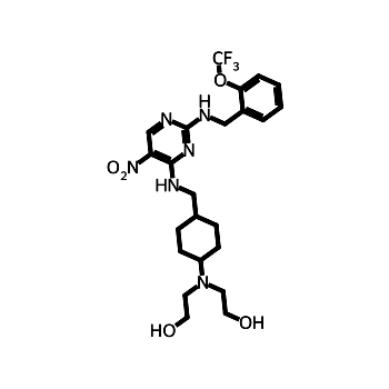 O=[N+]([O-])c1cnc(NCc2ccccc2OC(F)(F)F)nc1NCC1CCC(N(CCO)CCO)CC1